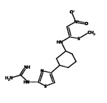 CSC(=C[N+](=O)[O-])NC1CCCC(c2csc(NC(=N)N)n2)C1